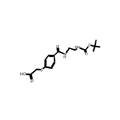 CC(C)(C)OC(=O)NCCNC(=O)c1ccc(SCC(=O)O)cc1